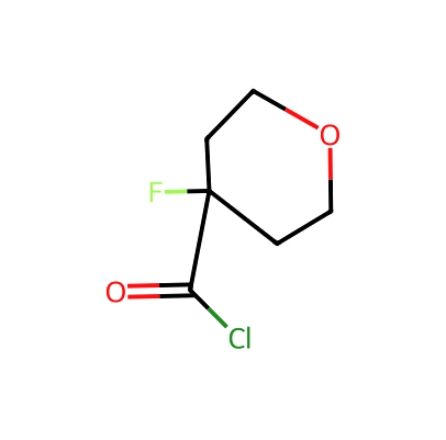 O=C(Cl)C1(F)CCOCC1